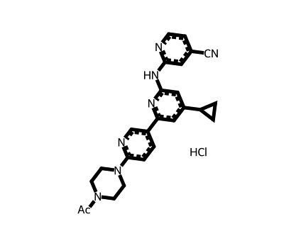 CC(=O)N1CCN(c2ccc(-c3cc(C4CC4)cc(Nc4cc(C#N)ccn4)n3)cn2)CC1.Cl